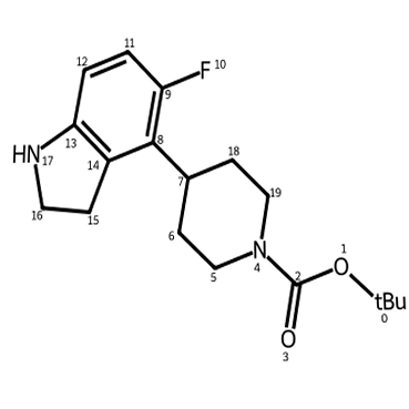 CC(C)(C)OC(=O)N1CCC(c2c(F)ccc3c2CCN3)CC1